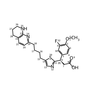 COc1ccc([C@@H](CC(=O)O)c2ncc(CCCCc3ccc4c(n3)NCCC4)s2)cc1F